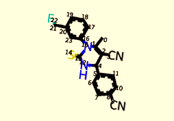 CC1=C(C#N)C(c2ccc(C#N)cc2)NC(=S)N1c1cccc(CF)c1